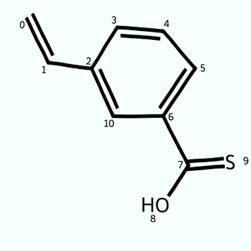 C=Cc1cccc(C(O)=S)c1